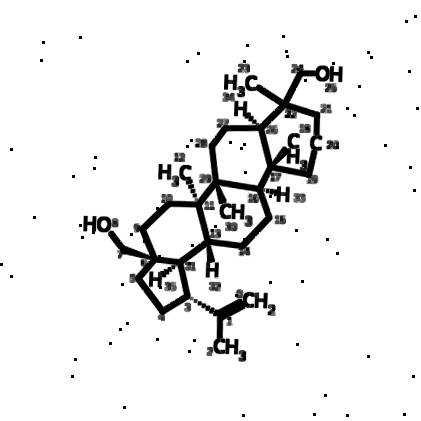 C=C(C)[C@@H]1CC[C@]2(CO)CC[C@]3(C)[C@H](CC[C@@H]4[C@@]5(C)CCCC(C)(CO)[C@@H]5CC[C@]43C)[C@@H]12